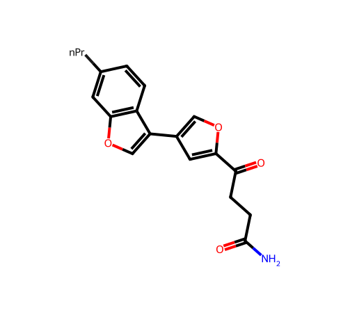 CCCc1ccc2c(-c3coc(C(=O)CCC(N)=O)c3)coc2c1